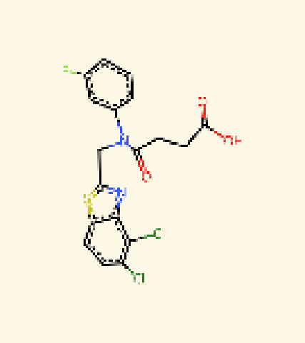 O=C(O)CCC(=O)N(Cc1nc2c(Cl)c(Cl)ccc2s1)c1cccc(F)c1